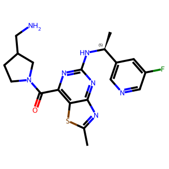 Cc1nc2nc(N[C@@H](C)c3cncc(F)c3)nc(C(=O)N3CCC(CN)C3)c2s1